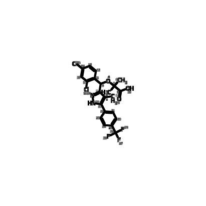 Cc1c(C(OC(C)(C)C(=O)O)c2ccc(Cl)cc2Cl)n[nH]c1-c1ccc(C(F)(F)F)cc1